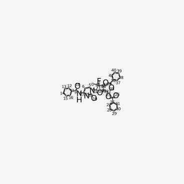 C[C@]1(F)C(n2ccc(NC(=O)c3ccccc3)nc2=O)O[C@H](COC(=O)c2ccccc2)[C@H]1OC(=O)c1ccccc1